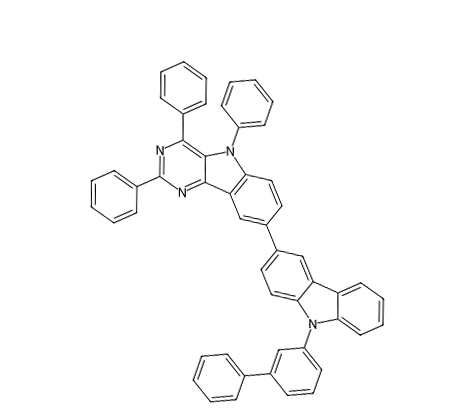 c1ccc(-c2cccc(-n3c4ccccc4c4cc(-c5ccc6c(c5)c5nc(-c7ccccc7)nc(-c7ccccc7)c5n6-c5ccccc5)ccc43)c2)cc1